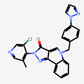 Cc1cncc(Cl)c1-n1nc2c3ccccc3n(Cc3ccc(-n4cccn4)cc3)cc-2c1=O